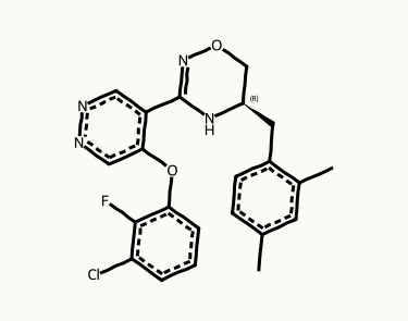 Cc1ccc(C[C@@H]2CON=C(c3cnncc3Oc3cccc(Cl)c3F)N2)c(C)c1